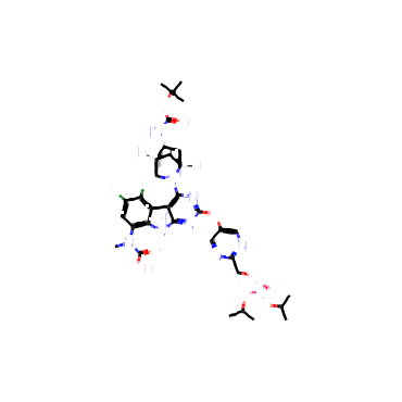 CC(C)OP(=O)(OC(C)C)O[C@H](C)c1ncc(Oc2nc(N3C[C@H]4C[C@@H]3C[C@H]4NC(=O)OC(C)(C)C)c3c(n2)[nH]c2c(N(C)C(=O)O)cc(F)c(F)c23)cn1